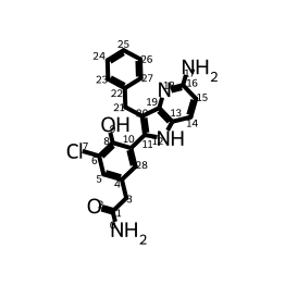 NC(=O)Cc1cc(Cl)c(O)c(-c2[nH]c3ccc(N)nc3c2Cc2ccccc2)c1